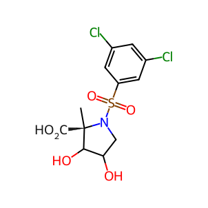 C[C@@]1(C(=O)O)C(O)C(O)CN1S(=O)(=O)c1cc(Cl)cc(Cl)c1